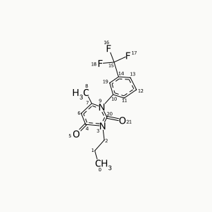 CCCn1c(=O)cc(C)n(-c2cccc(C(F)(F)F)c2)c1=O